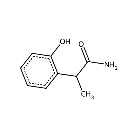 CC(C(N)=O)c1ccccc1O